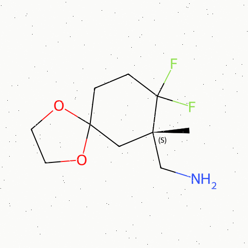 C[C@@]1(CN)CC2(CCC1(F)F)OCCO2